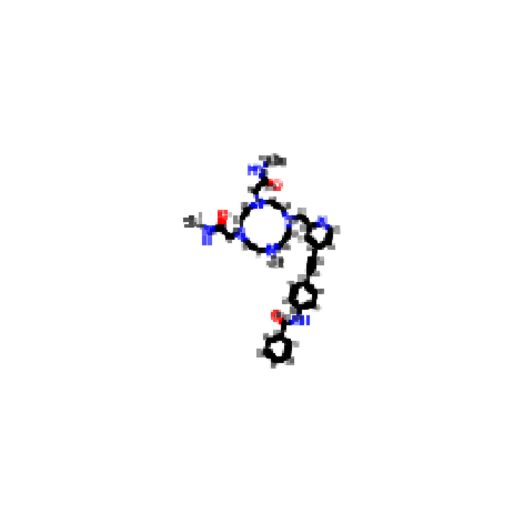 CCN1CCN(CC(=O)NC(C)(C)C)CCN(CC(=O)NC(C)(C)C)CCN(Cc2cc(C#Cc3ccc(NC(=O)c4ccccc4)cc3)ccn2)CC1